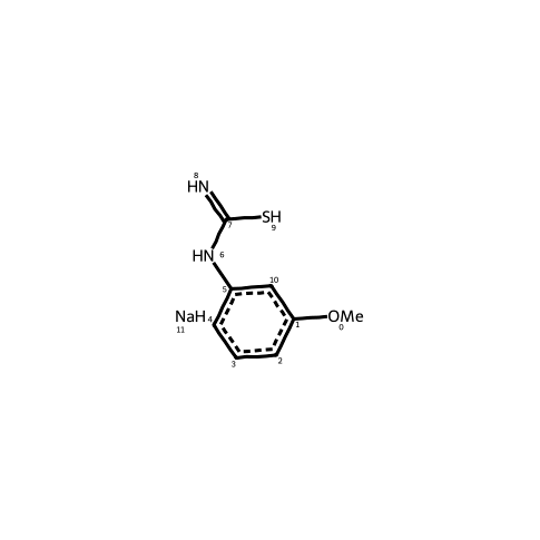 COc1cccc(NC(=N)S)c1.[NaH]